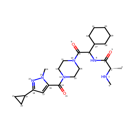 CN[C@@H](C)C(=O)NC(C(=O)N1CCN(C(=O)c2cc(C3CC3)nn2C)CC1)C1CCCCC1